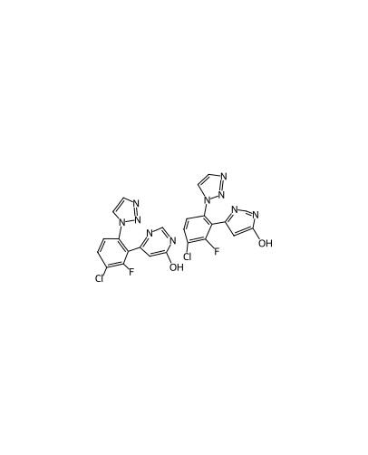 Oc1cc(-c2c(-n3ccnn3)ccc(Cl)c2F)ncn1.Oc1cc(-c2c(-n3ccnn3)ccc(Cl)c2F)ncn1